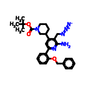 CC(C)(C)OC(=O)N1CCCC(c2cc(-c3ccccc3OCc3ccccc3)nc(N)c2CN=[N+]=[N-])C1